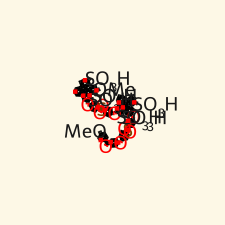 COc1ccc(C(=O)c2ccc(Oc3ccc(S(=O)(=O)c4ccc(Oc5ccc(C6(c7ccc(Oc8ccc(S(=O)(=O)c9ccc(Oc%10ccc(C%11(c%12ccc(OC)c(S(=O)(=O)O)c%12)c%12ccccc%12-c%12ccc(S(=O)(=O)O)cc%12%11)cc%10S(=O)(=O)O)cc9)cc8)c(S(=O)(=O)O)c7)c7ccccc7-c7ccc(S(=O)(=O)O)cc76)cc5S(=O)(=O)O)cc4)cc3)cc2)cc1